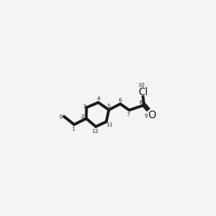 CCC1CCC(CCC(=O)Cl)CC1